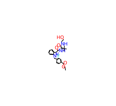 CCOC(=O)c1ccc(Cn2nc(C(=O)N[C@H](C(=O)NCCO)C(C)(C)C)c3ccccc32)c(F)c1